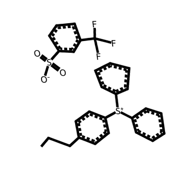 CCCc1ccc([S+](c2ccccc2)c2ccccc2)cc1.O=S(=O)([O-])c1cccc(C(F)(F)F)c1